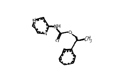 CC(OC(=O)Nc1cnccn1)c1ccccc1